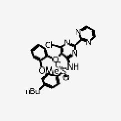 CCCCc1ccc(S(=O)(=O)Nc2nc(-c3ncccn3)nc(Cl)c2Oc2ccccc2OC)cc1